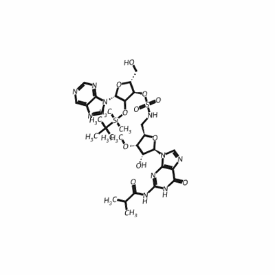 CO[C@H]1[C@@H](O)[C@H](n2cnc3c(=O)[nH]c(NC(=O)C(C)C)nc32)O[C@@H]1CNS(=O)(=O)O[C@H]1C(O[Si](C)(C)C(C)(C)C)[C@H](n2cnc3cncnc32)O[C@@H]1CO